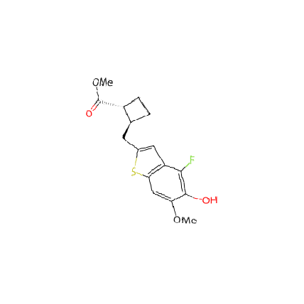 COC(=O)[C@@H]1CC[C@H]1Cc1cc2c(F)c(O)c(OC)cc2s1